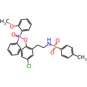 COc1ccccc1P(=O)(Oc1ccc(Cl)cc1CCNS(=O)(=O)c1ccc(C)cc1)c1ccccc1